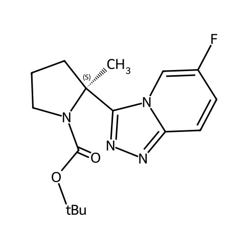 CC(C)(C)OC(=O)N1CCC[C@@]1(C)c1nnc2ccc(F)cn12